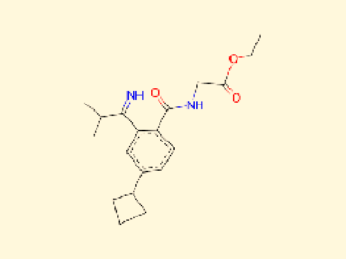 CCOC(=O)CNC(=O)c1ccc(C2CCC2)cc1C(=N)C(C)C